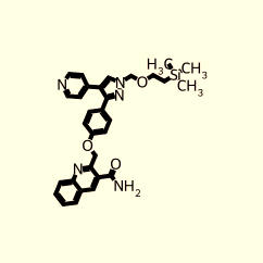 C[Si](C)(C)CCOCn1cc(-c2ccncc2)c(-c2ccc(OCc3nc4ccccc4cc3C(N)=O)cc2)n1